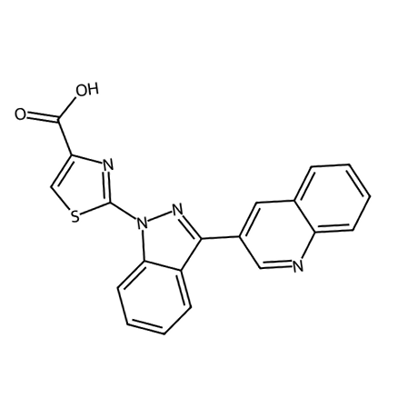 O=C(O)c1csc(-n2nc(-c3cnc4ccccc4c3)c3ccccc32)n1